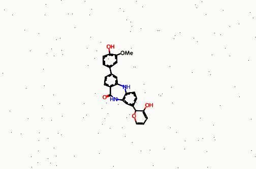 COc1cc(-c2ccc3c(c2)Nc2ccc(C4OC=CC=C4O)cc2NC3=O)ccc1O